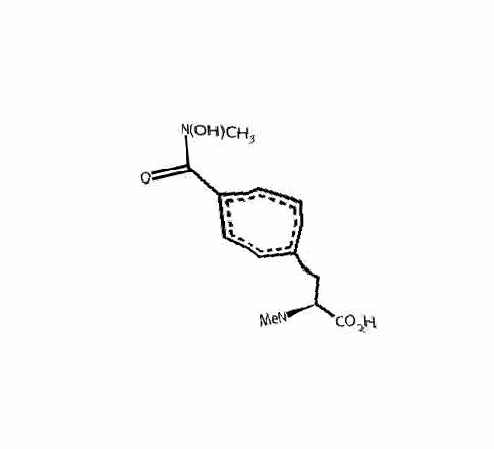 CN[C@@H](Cc1ccc(C(=O)N(C)O)cc1)C(=O)O